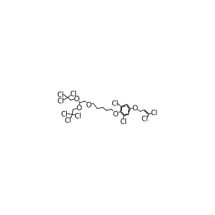 ClC(Cl)=CCOc1cc(Cl)c(OCCCCCOCC(OCC(Cl)(Cl)Cl)OCC(Cl)(Cl)Cl)c(Cl)c1